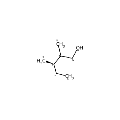 CC[C@@H](C)C(C)CO